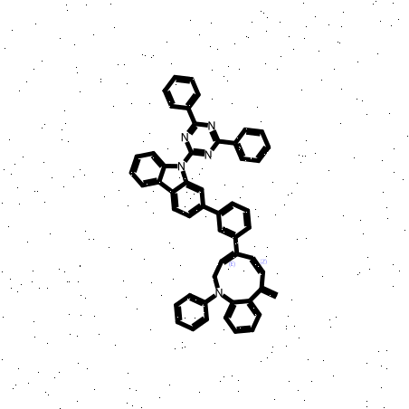 C=C1/C=C\C(c2cccc(-c3ccc4c5ccccc5n(-c5nc(-c6ccccc6)nc(-c6ccccc6)n5)c4c3)c2)=C/CN(c2ccccc2)c2ccccc21